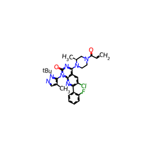 C=CC(=O)N1CCN(c2nc(=O)n(-c3c(C)cnn3C(C)(C)C)c3nc(-c4ccccc4F)c(Cl)cc23)[C@@H](C)C1